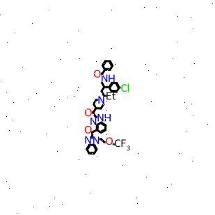 CCC(CC(CNC(=O)c1ccccc1)c1ccc(Cl)cc1)N1CCC(C(=O)c2nc3c(C(=O)c4nc5ccccc5n4CCOCC(F)(F)F)cccc3[nH]2)CC1